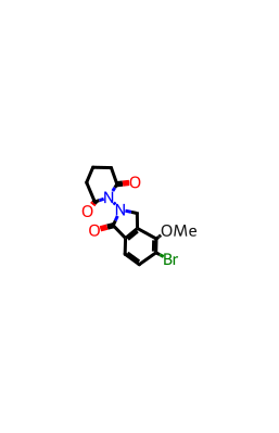 COc1c(Br)ccc2c1CN(N1C(=O)CCCC1=O)C2=O